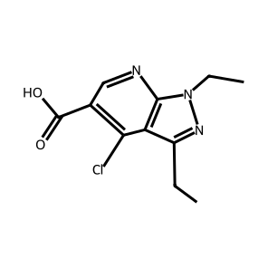 CCc1nn(CC)c2ncc(C(=O)O)c(Cl)c12